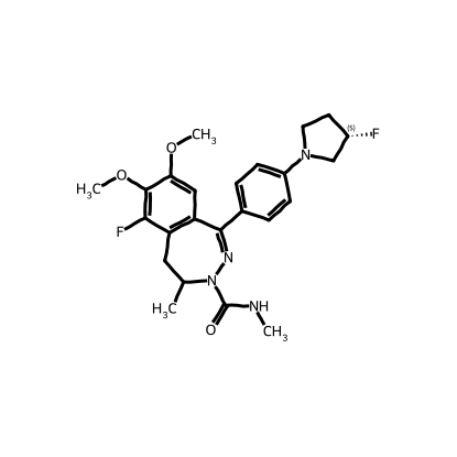 CNC(=O)N1N=C(c2ccc(N3CC[C@H](F)C3)cc2)c2cc(OC)c(OC)c(F)c2CC1C